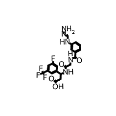 NN=CNc1cccc(C(=O)NCC(=O)NC(CC(=O)O)c2cc(F)cc(C(F)(F)F)c2)c1